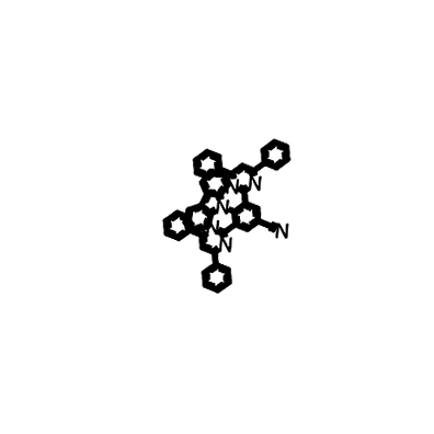 N#Cc1cc(-c2nc(-c3ccccc3)cc(-c3ccccc3)n2)c(-n2c3ccccc3c3ccccc32)c(-c2nc(-c3ccccc3)cc(-c3ccccc3)n2)c1